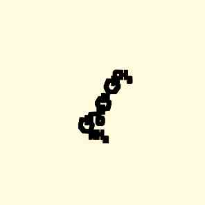 CN1CCC(N2CCN(C(=O)CN3CCCC(N)C3)CC2)CC1